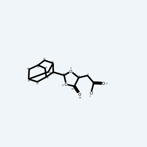 O=C(Cl)CC1OC(C2C3CC4CC(C3)CC2C4)OC1=O